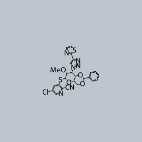 COC1C(Sc2cc(Cl)cnc2C#N)OC2COC(c3ccccc3)OC2C1n1cc(-c2nccs2)nn1